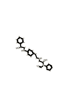 O=CN(c1ccccc1)[C@H](O)CNCCc1ccc(NC[C@@H](O)c2ccccc2)cc1